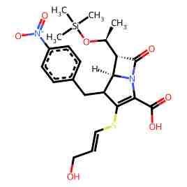 C[C@H](O[Si](C)(C)C)[C@@H]1C(=O)N2C(C(=O)O)=C(SC=CCO)C(Cc3ccc([N+](=O)[O-])cc3)[C@@H]12